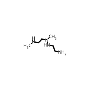 CNCCN(C)NCCN